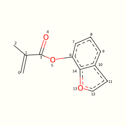 C=C(C)C(=O)Oc1cccc2ccoc12